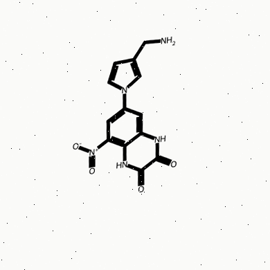 NCc1ccn(-c2cc([N+](=O)[O-])c3[nH]c(=O)c(=O)[nH]c3c2)c1